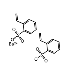 C=Cc1ccccc1S(=O)(=O)[O-].C=Cc1ccccc1S(=O)(=O)[O-].[Ba+2]